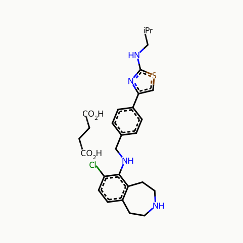 CC(C)CNc1nc(-c2ccc(CNc3c(Cl)ccc4c3CCNCC4)cc2)cs1.O=C(O)CCC(=O)O